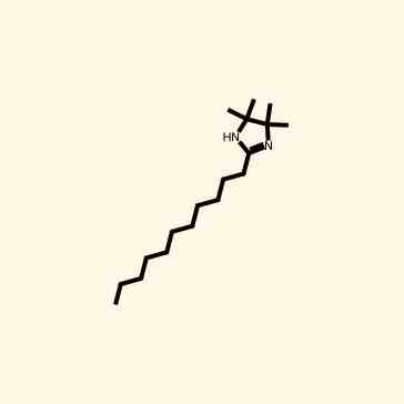 CCCCCCCCCCCC1=NC(C)(C)C(C)(C)N1